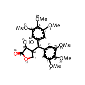 COc1cc(C(c2cc(OC)c(OC)c(OC)c2)C2COC(=O)C2C=O)cc(OC)c1OC